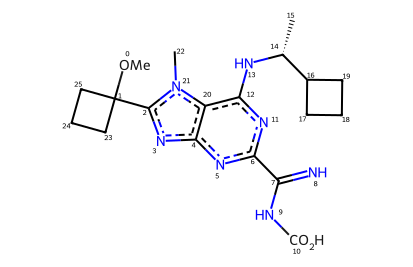 COC1(c2nc3nc(C(=N)NC(=O)O)nc(N[C@H](C)C4CCC4)c3n2C)CCC1